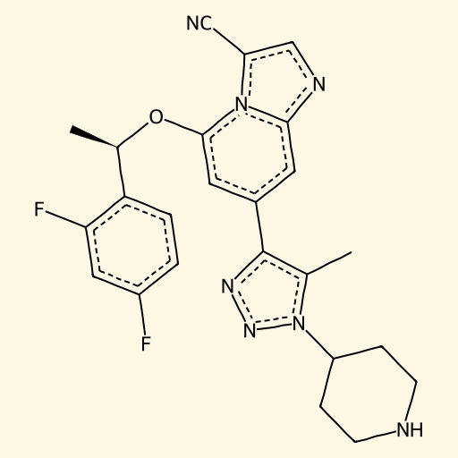 Cc1c(-c2cc(O[C@H](C)c3ccc(F)cc3F)n3c(C#N)cnc3c2)nnn1C1CCNCC1